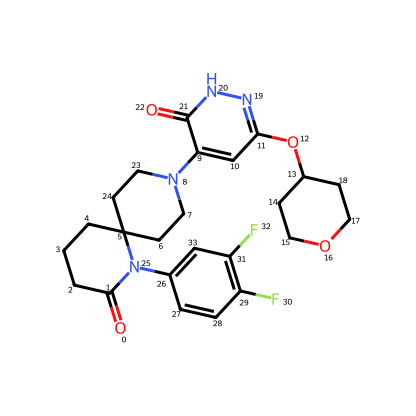 O=C1CCCC2(CCN(c3cc(OC4CCOCC4)n[nH]c3=O)CC2)N1c1ccc(F)c(F)c1